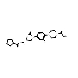 CC(=O)OCC(=O)N1CCN(c2ccc(N3C[C@H](CNC(=S)C4CCCC4)OC3=O)cc2F)CC1